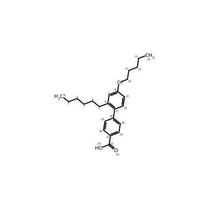 CCCCCCc1cc(OCCCCC)ccc1-c1ccc(C(=O)O)cc1